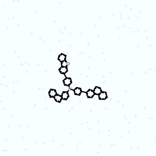 c1ccc2c(c1)ccc1cc(-c3ccc(N(c4ccc(-c5ccc6c(c5)oc5ccccc56)cc4)c4ccc5ccc6ccccc6c5c4)cc3)ccc12